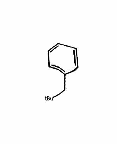 CC(C)(C)[C]c1ccccc1